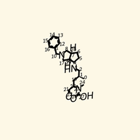 C[C@H](CN[C@H]1CC[C@@H]2CN(Cc3ccccc3)C[C@@H]21)CC(C=O)N(C)C(=O)O